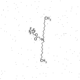 CCCCCCCCCCCN(CCCCCCCCCCC)CCC(=O)OCC(F)(F)C(F)(F)F